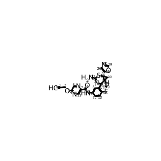 C#CCOc1cnc(C(=O)Nc2ccc(F)c([C@@]3(CF)N=C(N)S[C@@]4(c5cnco5)C[C@@H]34)c2)cn1